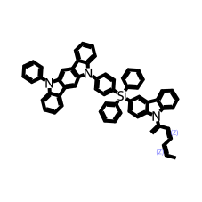 C=C(/C=C\C=C/C)n1c2ccccc2c2cc([Si](c3ccccc3)(c3ccccc3)c3ccc(-n4c5ccccc5c5cc6c(cc54)c4ccccc4n6-c4ccccc4)cc3)ccc21